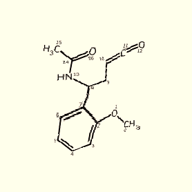 COc1ccccc1C(CC=C=O)NC(C)=O